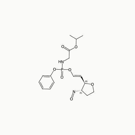 CC(C)OC(=O)CNP(=O)(OC=C[C@H]1OCC[C@@H]1N=O)Oc1ccccc1